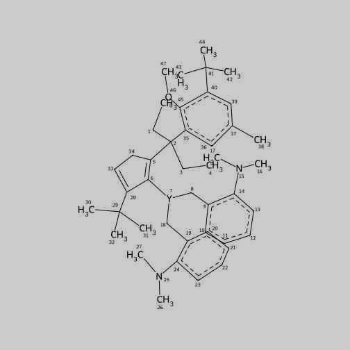 CCC(CC)(C1=[C]([Y]([CH2]c2ccccc2N(C)C)[CH2]c2ccccc2N(C)C)C(C(C)(C)C)=CC1)c1cc(C)cc(C(C)(C)C)c1OC